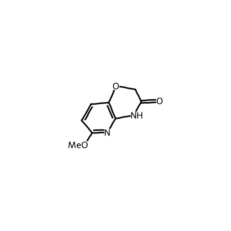 COc1ccc2c(n1)NC(=O)CO2